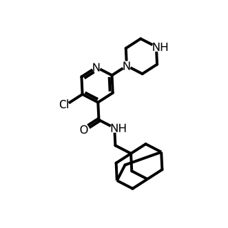 O=C(NCC12CC3CC(CC(C3)C1)C2)c1cc(N2CCNCC2)ncc1Cl